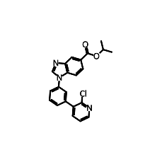 CC(C)OC(=O)c1ccc2c(c1)ncn2-c1cccc(-c2cccnc2Cl)c1